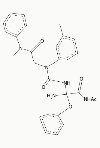 CC(=O)NC(=O)C(N)(NC(=O)N(CC(=O)N(C)c1ccccc1)c1cccc(C)c1)Oc1ccccc1